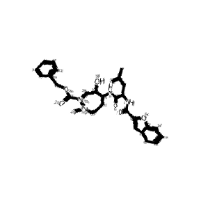 CC(C)CC(NC(=O)c1cc2ccccc2o1)C(=O)NC1CCN(C)N(C(=O)OCc2ccccc2)CC1O